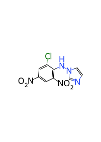 O=[N+]([O-])c1cc(Cl)c(Nn2ccnc2)c([N+](=O)[O-])c1